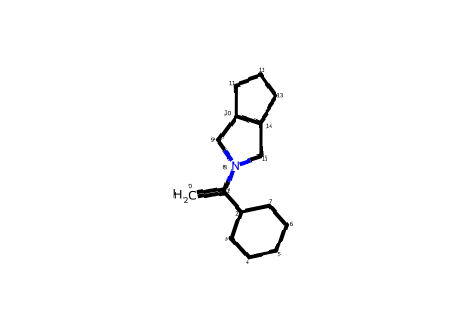 C=C(C1CCCCC1)N1CC2CCCC2C1